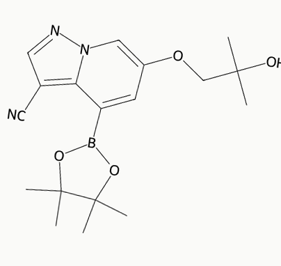 CC(C)(O)COc1cc(B2OC(C)(C)C(C)(C)O2)c2c(C#N)cnn2c1